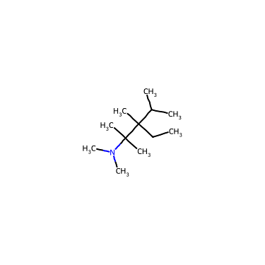 CCC(C)(C(C)C)C(C)(C)N(C)C